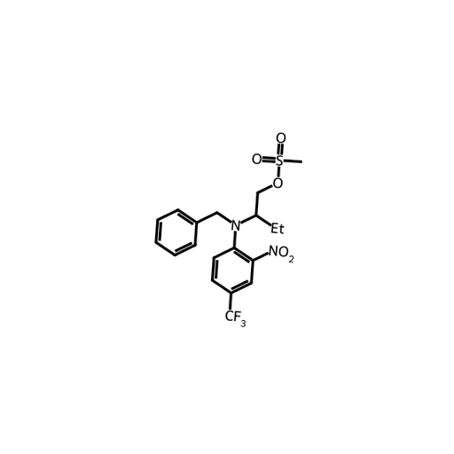 CCC(COS(C)(=O)=O)N(Cc1ccccc1)c1ccc(C(F)(F)F)cc1[N+](=O)[O-]